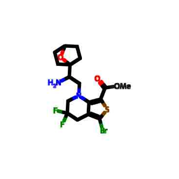 COC(=O)c1sc(Br)c2c1N(CC(N)C13CCC(CC1)O3)CC(F)(F)C2